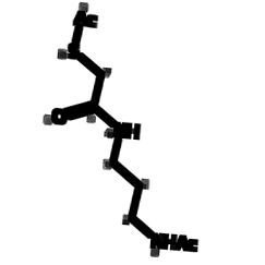 CC(=O)NCCCNC(=O)CSC(C)=O